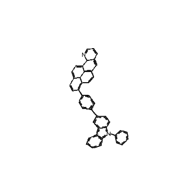 C1=CC2=CC3=C4C(=CC=C5C=CC(c6ccc(-c7ccc8c(c7)c7ccccc7n8-c7ccccc7)cc6)=C(C=C3)C54)C2N=C1